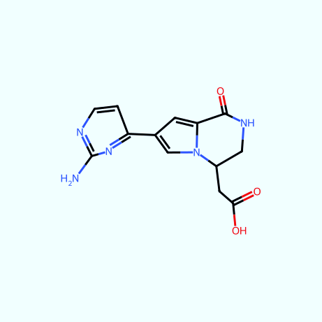 Nc1nccc(-c2cc3n(c2)C(CC(=O)O)CNC3=O)n1